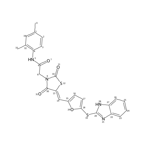 Cc1ccc(NC(=O)CN2C(=O)S/C(=C\c3ccc(Sc4nc5ccccc5[nH]4)o3)C2=O)c(C)c1